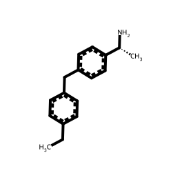 CCc1ccc(Cc2ccc([C@@H](C)N)cc2)cc1